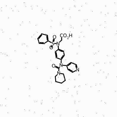 O=C(O)CN(c1ccc(N(C(=O)N2CCCCC2)c2ccncc2)cc1)S(=O)(=O)c1ccccc1